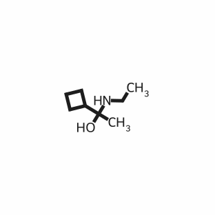 CCNC(C)(O)C1CCC1